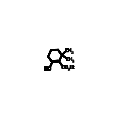 CCOC(=O)C1=C(O)CCCC1(C)C